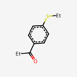 CCSc1ccc(C(=O)CC)cc1